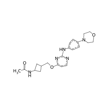 CC(=O)NC1CC(COc2ccnc(Nc3ccc(N4CCOCC4)cc3)n2)C1